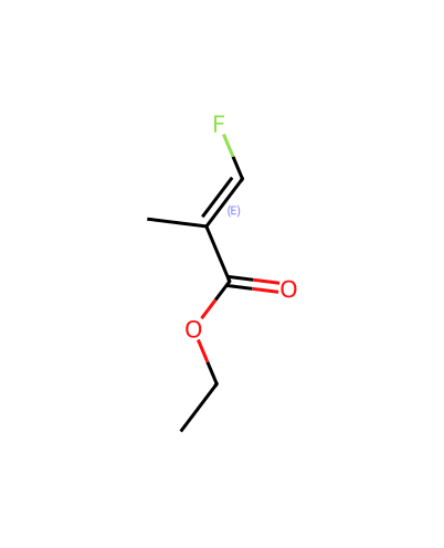 CCOC(=O)/C(C)=C/F